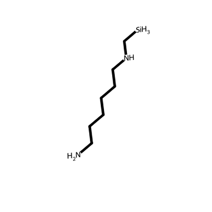 NCCCCCCNC[SiH3]